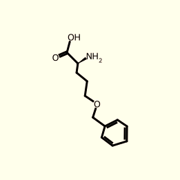 N[C@@H](CCCOCc1ccccc1)C(=O)O